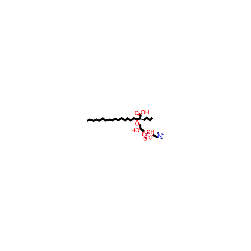 CCCCCCCCCCCCCCCCC(OCC(O)COP(=O)(O)OCC[N+](C)(C)C)[C@H](CCCC)C(=O)O